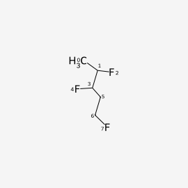 CC(F)C(F)CCF